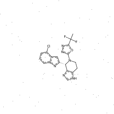 CC(F)(F)c1nnc(N2CCc3[nH]cnc3[C@@H]2c2cc3c(Cl)cccn3n2)o1